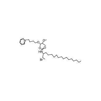 CCCCCCCCCCCCCCCC(CC)NC(=O)OC(OCCCC[n+]1ccccc1)C(C)OC.[Br-]